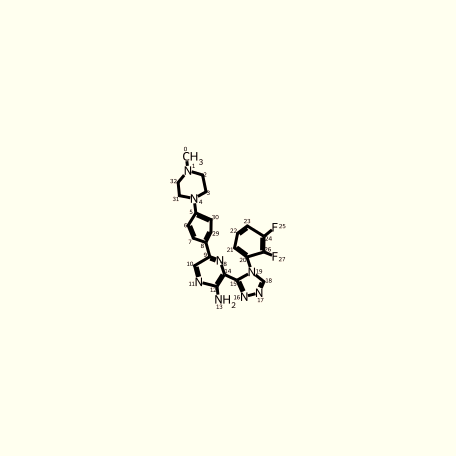 CN1CCN(c2ccc(-c3cnc(N)c(-c4nncn4-c4cccc(F)c4F)n3)cc2)CC1